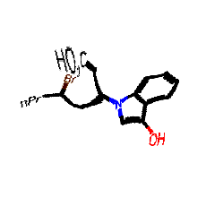 CCCC(Br)CC(CC(=O)O)n1cc(O)c2ccccc21